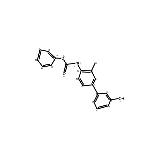 Cc1cc(-c2cccc(O)c2)ccc1NC(=O)Oc1ccccc1